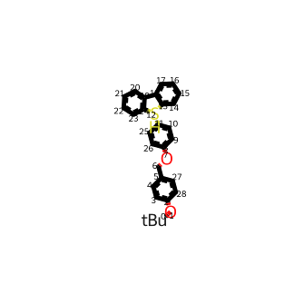 CC(C)(C)Oc1ccc(COc2ccc([SH]3c4ccccc4-c4ccccc43)cc2)cc1